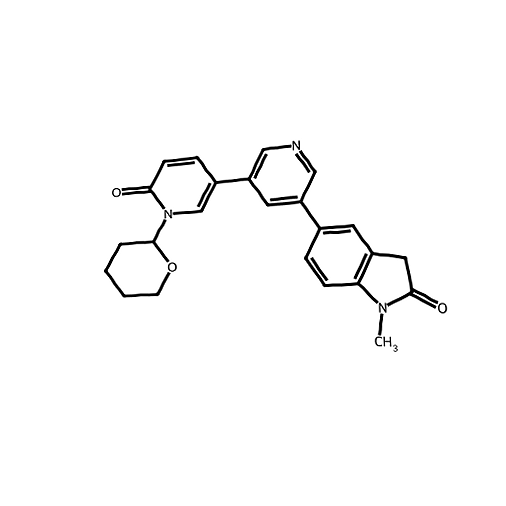 CN1C(=O)Cc2cc(-c3cncc(-c4ccc(=O)n(C5CCCCO5)c4)c3)ccc21